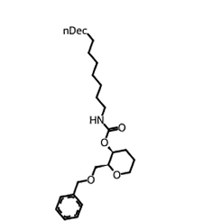 CCCCCCCCCCCCCCCCCNC(=O)O[C@H]1CCCO[C@H]1COCc1ccccc1